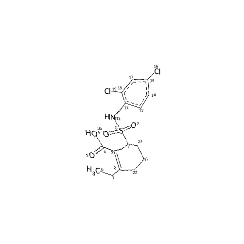 CCC1=C(C(=O)O)C(S(=O)(=O)Nc2ccc(Cl)cc2Cl)CCC1